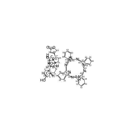 C[C@]12CC[C@H](O)C[C@H]1CC[C@@H]1[C@@H]2C[C@@H](O)[C@]2(C)[C@@H](C3=CC(=O)OC3)CC[C@]12O.c1ccc2c(c1)-c1nc-2nc2[nH]c(nc3nc(nc4[nH]c(n1)c1ccccc41)-c1ccccc1-3)c1ccccc21